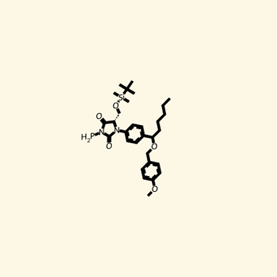 CCCCCC(OCc1ccc(OC)cc1)c1ccc(N2C(=O)N(P)C(=O)[C@@H]2CO[Si](C)(C)C(C)(C)C)cc1